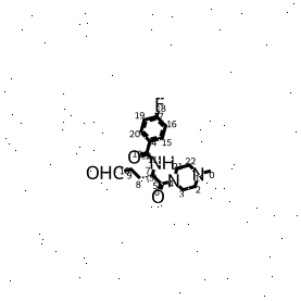 CN1CCN(C(=O)[C@H](CCC=O)NC(=O)c2ccc(F)cc2)CC1